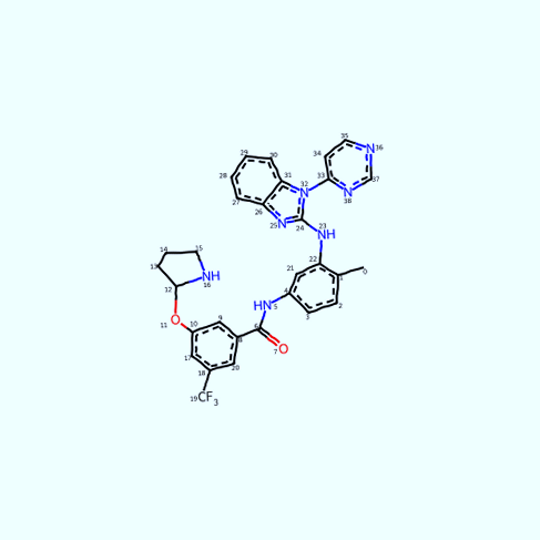 Cc1ccc(NC(=O)c2cc(OC3CCCN3)cc(C(F)(F)F)c2)cc1Nc1nc2ccccc2n1-c1ccncn1